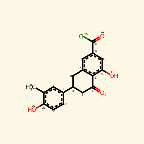 Cc1cc(C2CC(=O)c3c(O)cc(C(=O)Cl)cc3C2)ccc1O